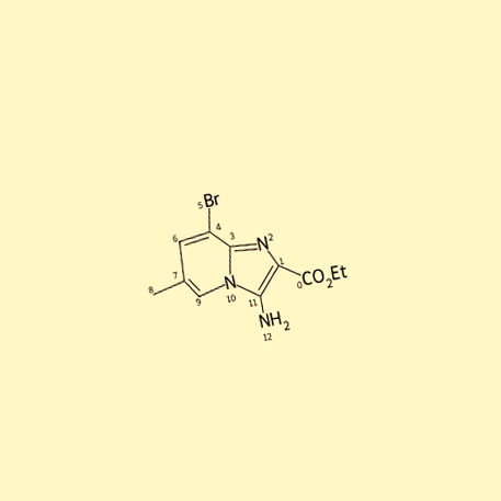 CCOC(=O)c1nc2c(Br)cc(C)cn2c1N